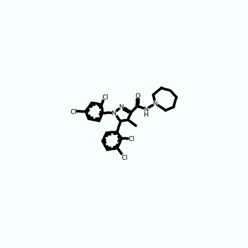 CC1C(C(=O)NN2CCCCCC2)=NN(c2ccc(Cl)cc2Cl)C1c1cccc(Cl)c1Cl